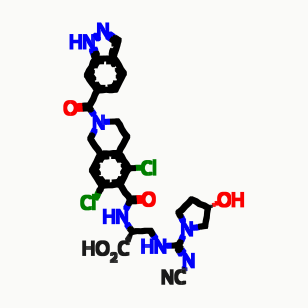 N#C/N=C(\NC[C@H](NC(=O)c1c(Cl)cc2c(c1Cl)CCN(C(=O)c1ccc3cn[nH]c3c1)C2)C(=O)O)N1CC[C@H](O)C1